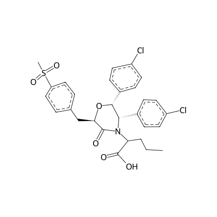 CCCC(C(=O)O)N1C(=O)[C@@H](Cc2ccc(S(C)(=O)=O)cc2)O[C@H](c2ccc(Cl)cc2)[C@@H]1c1ccc(Cl)cc1